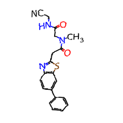 CN(CC(=O)NCC#N)C(=O)Cc1nc2ccc(-c3ccccc3)cc2s1